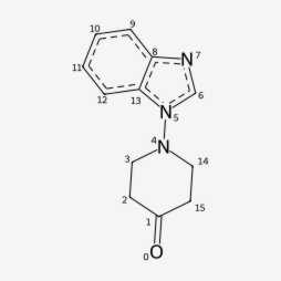 O=C1CCN(n2cnc3ccccc32)CC1